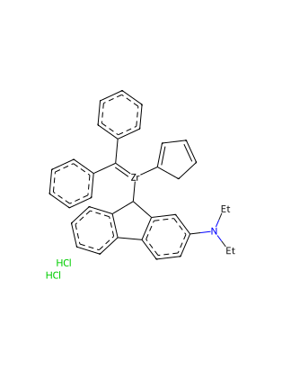 CCN(CC)c1ccc2c(c1)[CH]([Zr]([C]1=CC=CC1)=[C](c1ccccc1)c1ccccc1)c1ccccc1-2.Cl.Cl